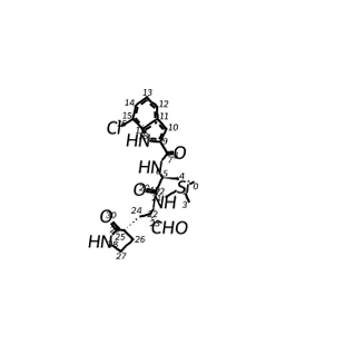 C[Si](C)(C)C[C@H](NC(=O)c1cc2cccc(Cl)c2[nH]1)C(=O)N[C@H](C=O)C[C@@H]1CCNC1=O